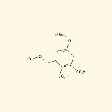 CCCCCCOC(=O)CC(C(=O)O)=C(CCOCCCC)C(=O)O